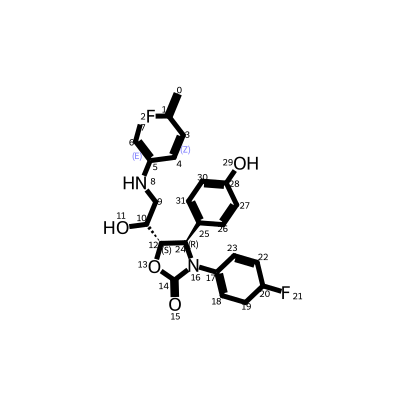 C=C(F)/C=C\C(=C/C)NCC(O)[C@H]1OC(=O)N(C2=CCC(F)C=C2)[C@@H]1c1ccc(O)cc1